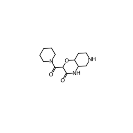 O=C1NC2CNCCC2OC1C(=O)N1CCCCC1